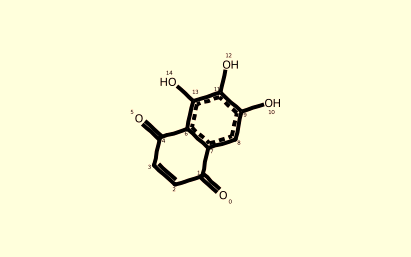 O=C1C=CC(=O)c2c1cc(O)c(O)c2O